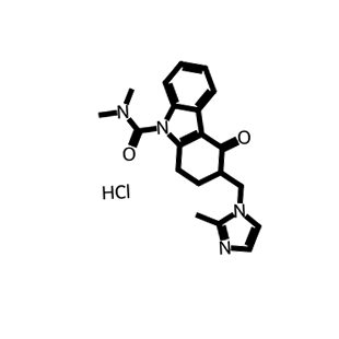 Cc1nccn1CC1CCc2c(c3ccccc3n2C(=O)N(C)C)C1=O.Cl